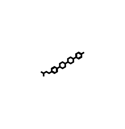 Cc1ccc(C2CCC(C3CCC(c4ccc(CCC(C)C)cc4)CC3)CC2)cc1